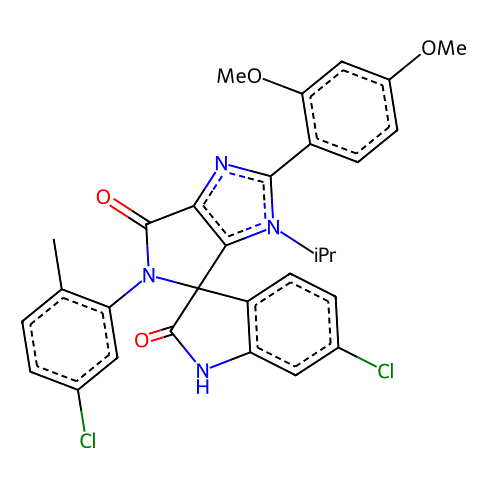 COc1ccc(-c2nc3c(n2C(C)C)C2(C(=O)Nc4cc(Cl)ccc42)N(c2cc(Cl)ccc2C)C3=O)c(OC)c1